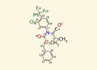 CC(C)C(=C=O)N(C(=O)OCc1ccccc1)c1ccc(C(F)(F)F)c(Cl)c1